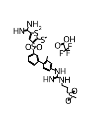 CSc1sc(C(=N)N)cc1S(=O)(=O)c1cccc(-c2ccc(NC(=N)NCCCS(C)(=O)=O)cc2C)c1.O=C(O)C(F)(F)F